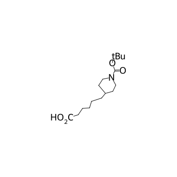 CC(C)(C)OC(=O)N1CCC(CCCCCC(=O)O)CC1